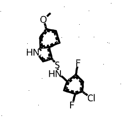 COc1ccc2c(SNc3cc(F)c(Cl)cc3F)c[nH]c2c1